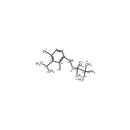 CN(C)c1c(Cl)ccc(BOC(C)(C)C(C)(C)P)c1F